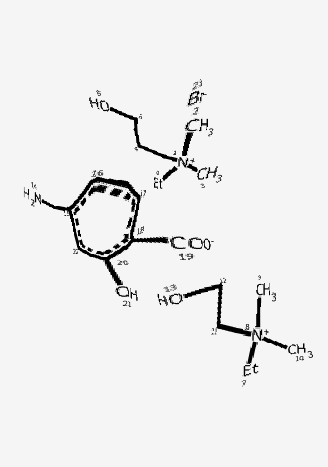 CC[N+](C)(C)CCO.CC[N+](C)(C)CCO.Nc1ccc(C(=O)[O-])c(O)c1.[Br-]